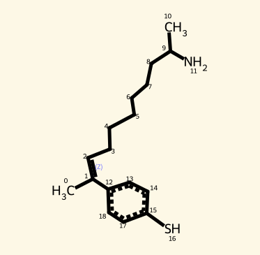 C/C(=C/CCCCCCC(C)N)c1ccc(S)cc1